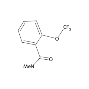 CNC(=O)c1ccccc1OC(F)(F)F